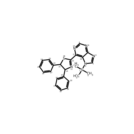 C[Si](C)(C)n1cnc2ncnc(C3=NC(c4ccccc4)C(c4ccccc4)S3)c21